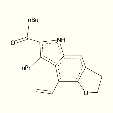 C=Cc1c2c(cc3[nH]c(C(=O)CCCC)c(CCC)c13)CCO2